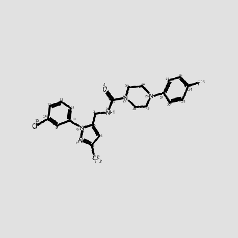 O=C(NCc1cc(C(F)(F)F)nn1-c1cccc(Cl)c1)N1CCN(c2ccc(F)cc2)CC1